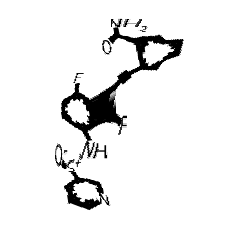 NC(=O)c1ccccc1C#Cc1c(F)ccc(N[S+]([O-])c2cccnc2)c1F